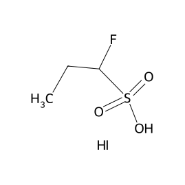 CCC(F)S(=O)(=O)O.I